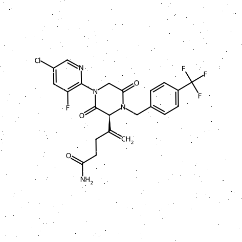 C=C(CCC(N)=O)[C@H]1C(=O)N(c2ncc(Cl)cc2F)CC(=O)N1Cc1ccc(C(F)(F)F)cc1